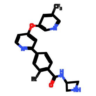 CCc1cc(-c2cc(Oc3cncc(C(F)(F)F)c3)ccn2)ccc1C(=O)NC1CNC1